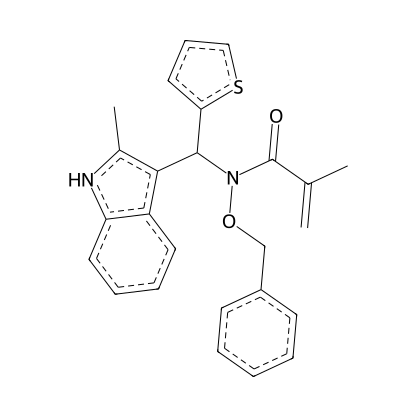 C=C(C)C(=O)N(OCc1ccccc1)C(c1cccs1)c1c(C)[nH]c2ccccc12